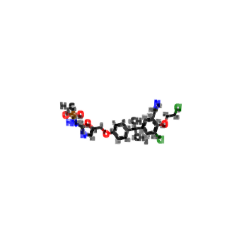 CC(C)(c1ccc(OCc2cnc(NS(C)(=O)=O)o2)cc1)c1cc(Cl)c(OCCCl)c(C#N)c1